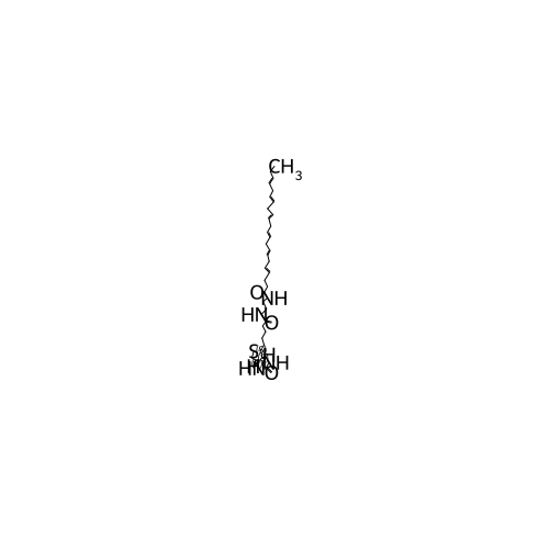 CCC=CCC=CCC=CCC=CCC=CCC=CCCC(=O)NCCNC(=O)CCCC[C@@H]1SC[C@@H]2NC(=O)N[C@@H]21